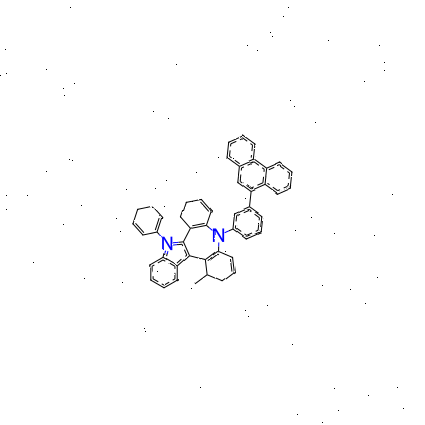 CC1CC=CC2=C1c1c(n(C3=CCCC=C3)c3ccccc13)C1=C(C=CCC1)N2c1cccc(-c2cc3ccccc3c3ccccc23)c1